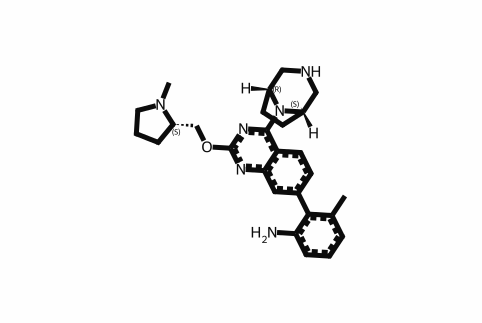 Cc1cccc(N)c1-c1ccc2c(N3[C@@H]4CC[C@H]3CNC4)nc(OC[C@@H]3CCCN3C)nc2c1